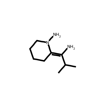 CC(C)/C(N)=C1\CCCCN1N